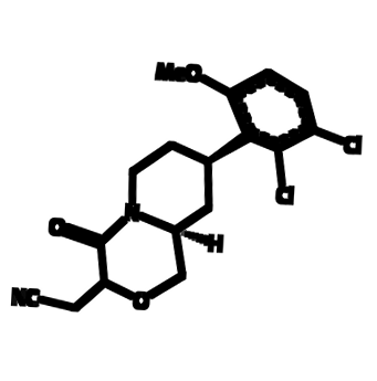 COc1ccc(Cl)c(Cl)c1[C@@H]1CCN2C(=O)C(CC#N)OC[C@@H]2C1